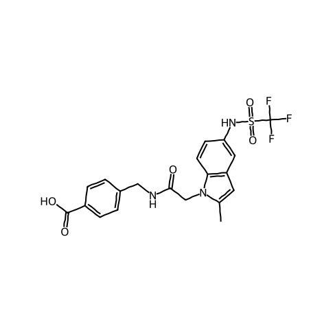 Cc1cc2cc(NS(=O)(=O)C(F)(F)F)ccc2n1CC(=O)NCc1ccc(C(=O)O)cc1